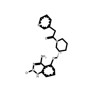 NC1=N[S+]([O-])Nc2cccc(OC[C@H]3CCCN(C(=O)Cc4cccnc4)C3)c21